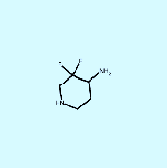 NC1CCNCC1(F)F